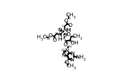 CCOC(=O)CNP(=O)(NCC(=O)OCC)OC[C@@H](OCn1cnc2c(OC)nc(N)nc21)[C@H](O)C(C)O